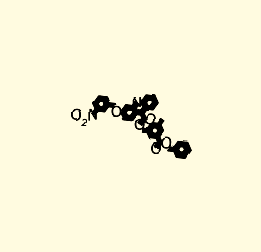 Cc1cc(C(=O)OCc2ccccc2)cc(C)c1OC(=O)c1c2ccccc2nc2cc(OCc3cccc([N+](=O)[O-])c3)ccc12